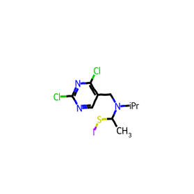 CC(C)N(Cc1cnc(Cl)nc1Cl)C(C)SI